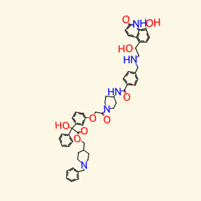 O=C(NC1CCN(C(=O)COc2cccc([C@](O)(C(=O)OCC3CCN(Cc4ccccc4)CC3)c3ccccc3)c2)CC1)c1ccc(CNC[C@H](O)c2ccc(O)c3[nH]c(=O)ccc23)cc1